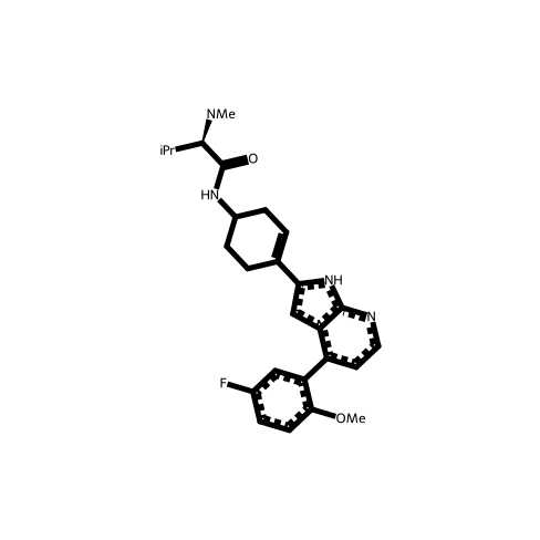 CN[C@@H](C(=O)NC1CC=C(c2cc3c(-c4cc(F)ccc4OC)ccnc3[nH]2)CC1)C(C)C